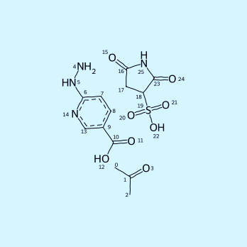 CC(C)=O.NNc1ccc(C(=O)O)cn1.O=C1CC(S(=O)(=O)O)C(=O)N1